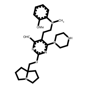 COc1ccccc1N(C)CCc1c(C=O)nc(OCC23CCCN2CCC3)nc1N1CCNCC1